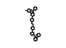 Cc1ccc2c(c1)c1cc(-c3ccc(/C=C/c4ccc(-c5cccc(-n6c7ccccc7c7ccccc76)c5)cc4)cc3)ccc1n2-c1ccccc1